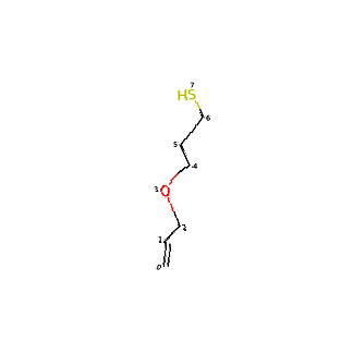 C=CCOCCCS